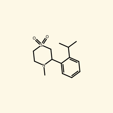 CC(C)c1ccccc1C1CS(=O)(=O)CCN1C